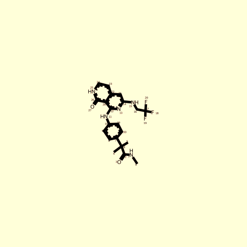 CNC(=O)C(C)(C)c1ccc(Nc2nc(NCC(F)(F)F)cc3cc[nH]c(=O)c23)cc1